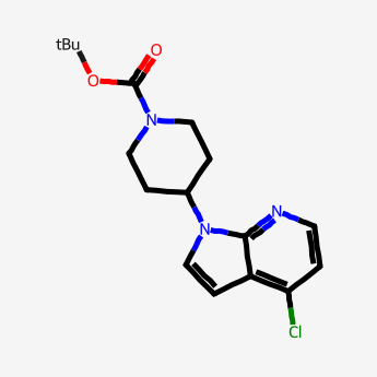 CC(C)(C)OC(=O)N1CCC(n2ccc3c(Cl)ccnc32)CC1